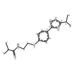 CC(C)C(=O)NCCOc1ccc(-c2nnc(C(C)C)o2)cc1